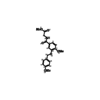 COC(=O)CNC(=O)c1ccc(OC)c(OCc2ccc(OC)cc2)c1